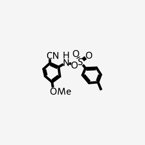 COc1ccc(C#N)c(NOS(=O)(=O)c2ccc(C)cc2)c1